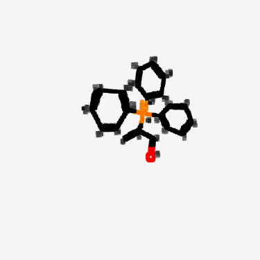 C=C(C=O)[PH](c1ccccc1)(c1ccccc1)c1ccccc1